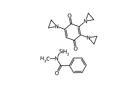 CN([SiH3])C(=O)c1ccccc1.O=C1C=C(N2CC2)C(=O)C(N2CC2)=C1N1CC1